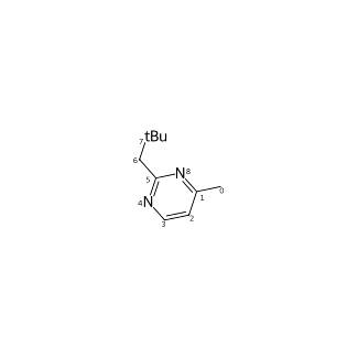 Cc1ccnc(CC(C)(C)C)n1